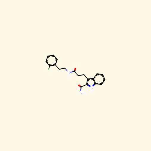 NC(=O)c1[nH]c2ccccc2c1C[CH]C(=O)NCCc1ccccc1F